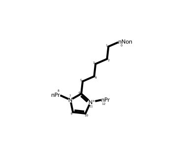 CCCCCCCCCCCCCCc1n(CCC)cc[n+]1CCC